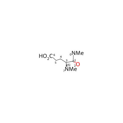 CNC(=O)[C@H](CCC(=O)O)NC